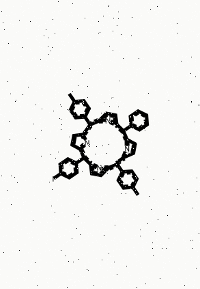 Cc1ccc(-c2c3nc(c(-c4ccc(I)cc4)c4ccc([nH]4)c(-c4ccc(C)cc4)c4nc(c(-c5ccccc5)c5ccc2[nH]5)C=C4)C=C3)cc1